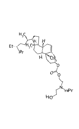 CCCN(CCO)CCOC(=O)O[C@H]1CC[C@@]2(C)C(=CC[C@H]3[C@@H]4CC[C@H]([C@H](C)CC[C@@H](CC)C(C)C)[C@@]4(C)CC[C@@H]32)C1